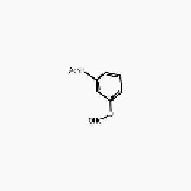 CC(=O)Nc1cccc(O[C]=O)c1